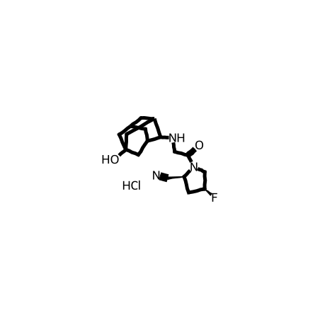 Cl.N#C[C@@H]1C[C@H](F)CN1C(=O)CNC1C2CC3CC1CC(O)(C3)C2